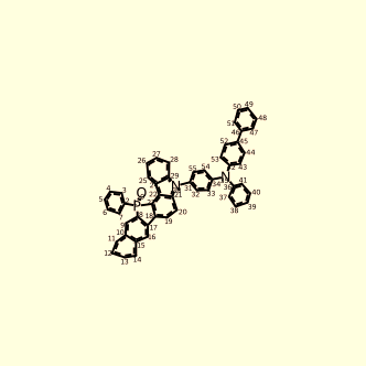 O=P1(c2ccccc2)c2cc3ccccc3cc2-c2ccc3c(c21)c1ccccc1n3-c1ccc(N(c2ccccc2)c2ccc(-c3ccccc3)cc2)cc1